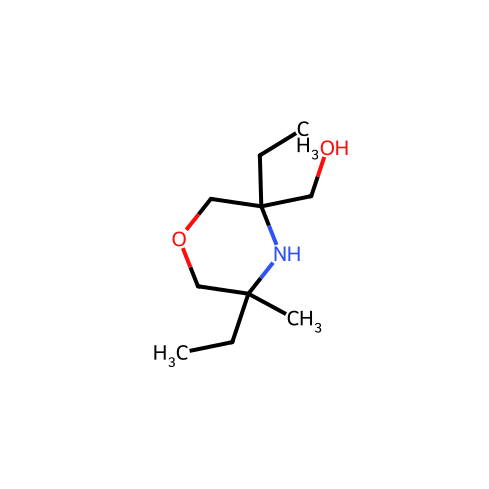 CCC1(C)COCC(CC)(CO)N1